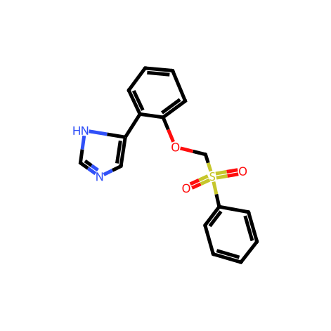 O=S(=O)(COc1ccccc1-c1cnc[nH]1)c1ccccc1